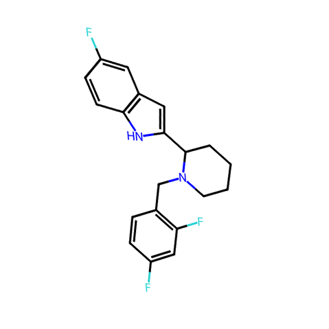 Fc1ccc(CN2CCCCC2c2cc3cc(F)ccc3[nH]2)c(F)c1